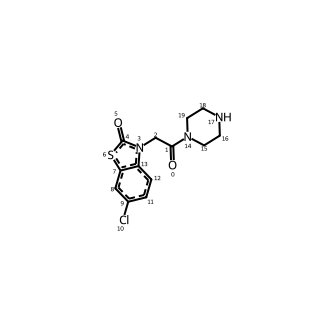 O=C(Cn1c(=O)sc2cc(Cl)ccc21)N1CCNCC1